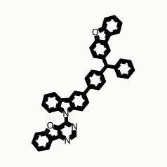 c1ccc(C(c2ccc(-c3ccc4c(c3)c3ccccc3n4-c3ncnc4c3oc3ccccc34)cc2)c2ccc3oc4ccccc4c3c2)cc1